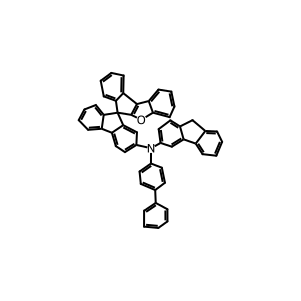 c1ccc(-c2ccc(N(c3ccc4c(c3)-c3ccccc3C4)c3ccc4c(c3)C3(c5ccccc5-4)c4ccccc4-c4c3oc3ccccc43)cc2)cc1